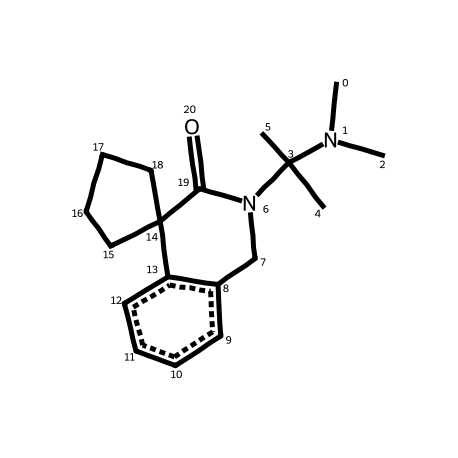 CN(C)C(C)(C)N1Cc2ccccc2C2(CCCC2)C1=O